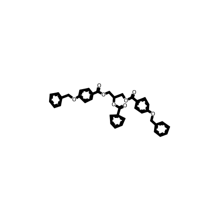 O=C(OCC(COC(=O)c1ccc(OCc2ccccc2)cc1)OC(=O)c1ccccc1)c1ccc(OCc2ccccc2)cc1